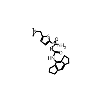 CN(C)Cc1ccc([S@](N)(=O)=NC(=O)Nc2c3c(cc4c2CCC4)CCC3)s1